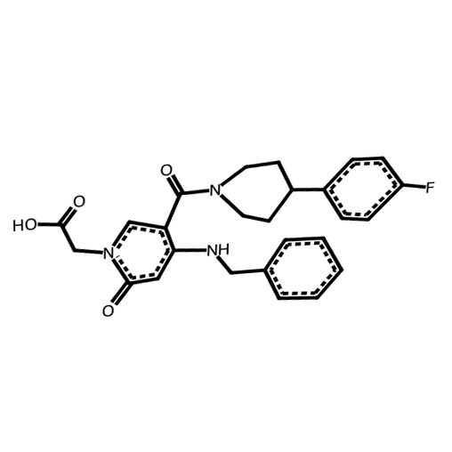 O=C(O)Cn1cc(C(=O)N2CCC(c3ccc(F)cc3)CC2)c(NCc2ccccc2)cc1=O